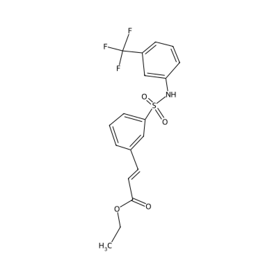 CCOC(=O)/C=C/c1cccc(S(=O)(=O)Nc2cccc(C(F)(F)F)c2)c1